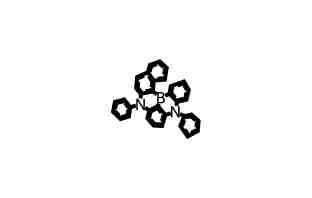 c1ccc(N2c3ccccc3B3c4c2cccc4N(c2ccccc2)c2ccc4ccccc4c23)cc1